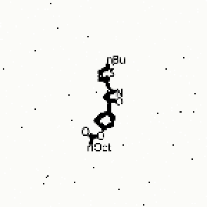 CCCCCCCCC(=O)Oc1ccc(-c2cc(-c3ccc(CCCC)s3)no2)cc1